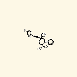 O=C(O)[C@@H]1CCC(O)(C#Cc2ccc(F)cn2)C[C@H]1c1ccccc1